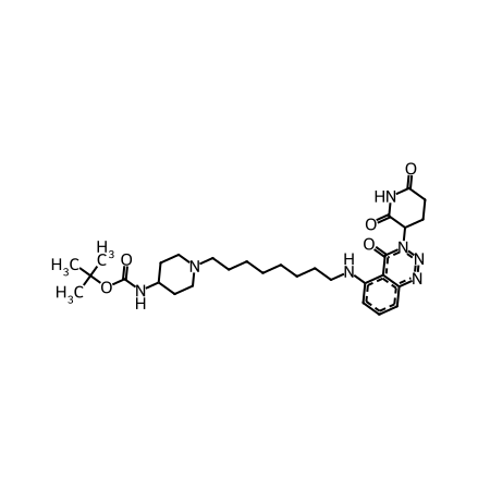 CC(C)(C)OC(=O)NC1CCN(CCCCCCCCNc2cccc3nnn(C4CCC(=O)NC4=O)c(=O)c23)CC1